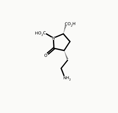 NCC[C@H]1C[C@@H](C(=O)O)N(C(=O)O)C1=O